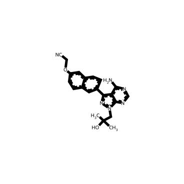 CC(C)(O)Cn1nc(-c2ccc3cc(OCC#N)ccc3c2)c2c(N)ncnc21